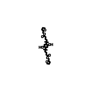 CC(C)(CCCC(=O)OCC1CCCO1)c1cc(O)c(C(C)(C)CCCC(=O)OCC2CCCO2)cc1O